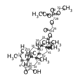 C=C(C)[C@@H]1CC[C@]2(C(=O)O)CC[C@]3(C)[C@H](CC[C@@H]4[C@@]5(C)CC[C@H](OC(=O)COCP(=O)(OCC)OCC)C(C)(C)[C@@H]5CC[C@]43C)[C@@H]12